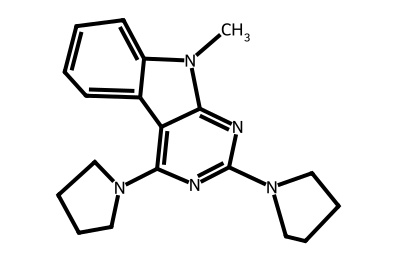 Cn1c2ccccc2c2c(N3CCCC3)nc(N3CCCC3)nc21